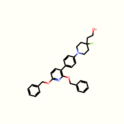 OCCC1(F)CCN(c2ccc(-c3ccc(OCc4ccccc4)nc3OCc3ccccc3)cc2)CC1